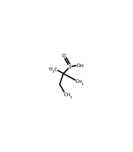 CCC(C)(C)S(=O)O